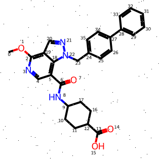 COc1ncc(C(=O)NC2CCC(C(=O)O)CC2)c2c1cnn2Cc1ccc(-c2ccccc2)cc1